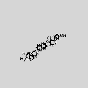 C[C@@H]1OCC2(CCN(c3cnc4nc(Sc5ccnc(N6CC[C@H](O)C6)c5Cl)ccc4n3)CC2)[C@@H]1N